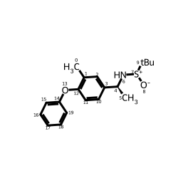 Cc1cc([C@H](C)N[S+]([O-])C(C)(C)C)ccc1Oc1ccccc1